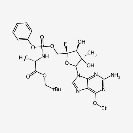 CCOc1nc(N)nc2c1ncn2C1O[C@](F)(COP(=O)(N[C@@H](C)C(=O)OCC(C)(C)C)Oc2ccccc2)[C@@H](O)[C@@]1(C)O